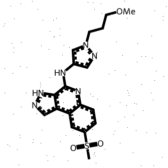 COCCCn1cc(Nc2nc3ccc(S(C)(=O)=O)cc3c3cn[nH]c23)cn1